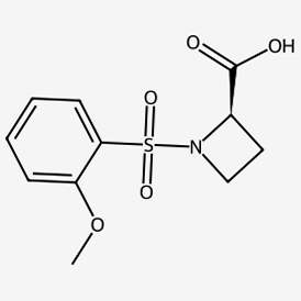 COc1ccccc1S(=O)(=O)N1CC[C@@H]1C(=O)O